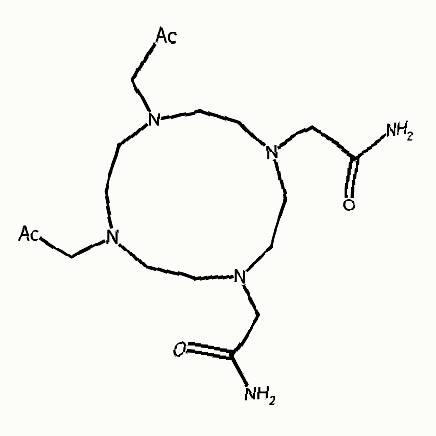 CC(=O)CN1CCN(CC(C)=O)CCN(CC(N)=O)CCN(CC(N)=O)CC1